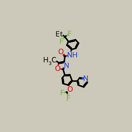 CCC(F)(F)c1cccc(NC(=O)c2nc(-c3ccc(OC(F)F)c(-c4cccnc4)c3)oc2C)c1